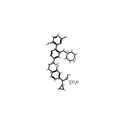 Cc1cc(-c2ccc(C3CCc4ccc([C@H](C5CC5)[C@H](C)C(=O)O)cc4O3)cc2CN2CCOCC2)c(F)cn1